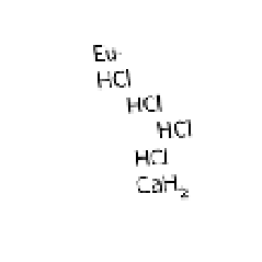 Cl.Cl.Cl.Cl.[CaH2].[Eu]